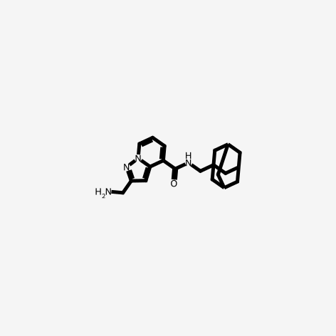 NCc1cc2c(C(=O)NCC34CC5CC(CC(C5)C3)C4)cccn2n1